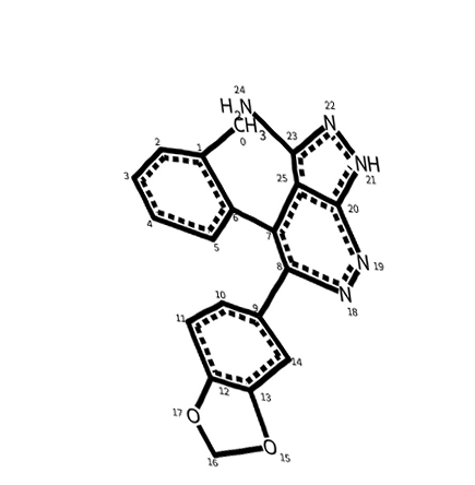 Cc1ccccc1-c1c(-c2ccc3c(c2)OCO3)nnc2[nH]nc(N)c12